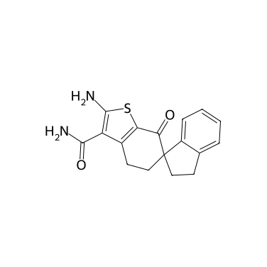 NC(=O)c1c(N)sc2c1CCC1(CCc3ccccc31)C2=O